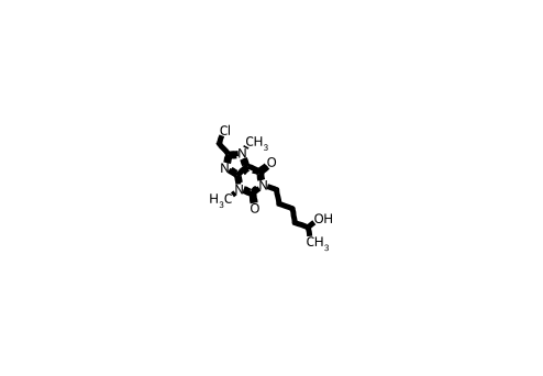 CC(O)CCCCn1c(=O)c2c(nc(CCl)n2C)n(C)c1=O